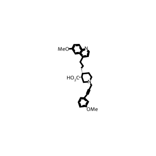 COc1cccc(C#CCN2CC[C@@H](CCCc3ccnc4ccc(OC)cc34)[C@@H](C(=O)O)C2)c1